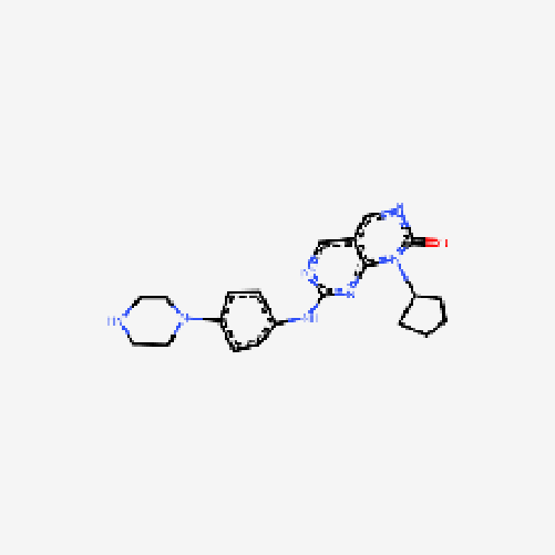 O=c1ncc2cnc(Nc3ccc(N4CCNCC4)cc3)nc2n1C1CCCC1